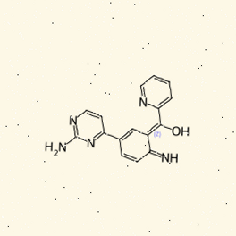 N=C1C=CC(c2ccnc(N)n2)=C/C1=C(/O)c1ccccn1